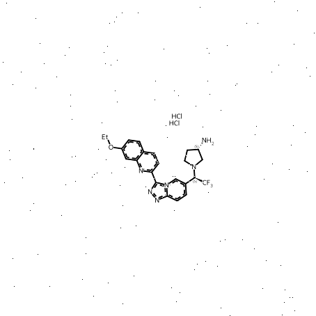 CCOc1ccc2ccc(-c3nnc4ccc([C@@H](N5CC[C@H](N)C5)C(F)(F)F)cn34)nc2c1.Cl.Cl